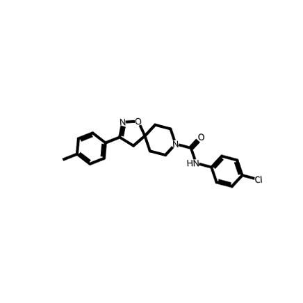 Cc1ccc(C2=NOC3(CCN(C(=O)Nc4ccc(Cl)cc4)CC3)C2)cc1